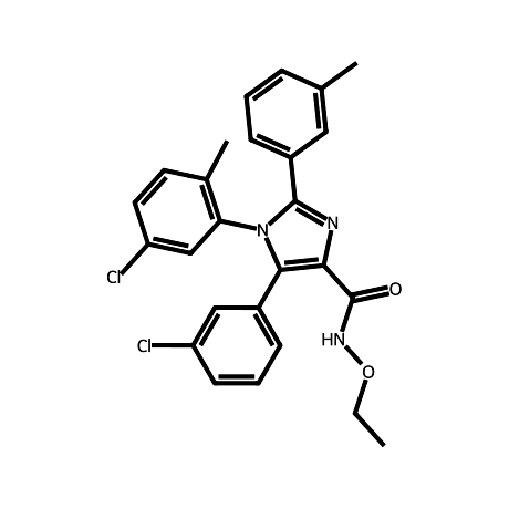 CCONC(=O)c1nc(-c2cccc(C)c2)n(-c2cc(Cl)ccc2C)c1-c1cccc(Cl)c1